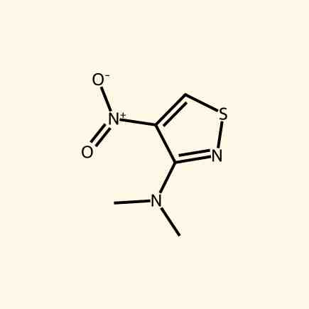 CN(C)c1nscc1[N+](=O)[O-]